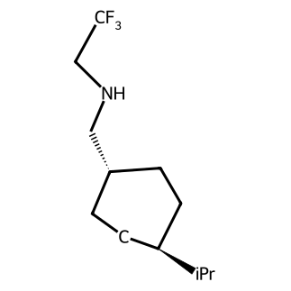 CC(C)[C@H]1CC[C@H](CNCC(F)(F)F)CC1